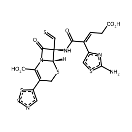 Nc1nc(C(=CCC(=O)O)C(=O)N[C@]2(C=S)C(=O)N3C(C(=O)O)=C(c4cnns4)CS[C@H]32)cs1